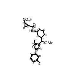 COC(c1nc(-c2cccc(C)c2)oc1C)C1CCCC(NC(=O)C2CC2C(=O)O)C1